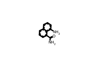 NC(=O)c1cccc2cccc(N)c12